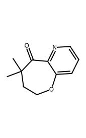 CC1(C)CCOc2cccnc2C1=O